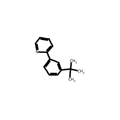 CC(C)(C)c1[c]ccc(-c2ccccn2)c1